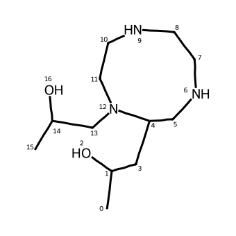 CC(O)CC1CNCCNCCN1CC(C)O